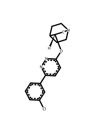 Clc1cccc(-c2ccc(O[C@H]3CN4CCC3CC4)nn2)c1